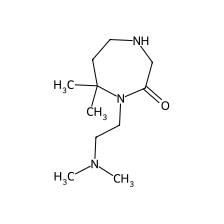 CN(C)CCN1C(=O)CNCCC1(C)C